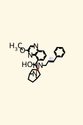 COc1cnc2cccc(C(O)CN3C4CCC3CC(NC/C=C/c3ccccc3)C4)c2n1